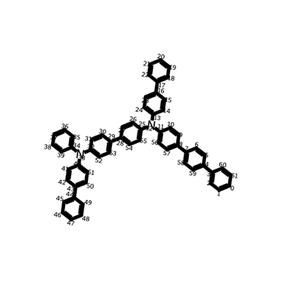 c1ccc(-c2ccc(-c3ccc(N(c4ccc(-c5ccccc5)cc4)c4ccc(-c5ccc(N(c6ccccc6)c6ccc(-c7ccccc7)cc6)cc5)cc4)cc3)cc2)cc1